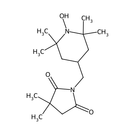 CC1(C)CC(=O)N(CC2CC(C)(C)N(O)C(C)(C)C2)C1=O